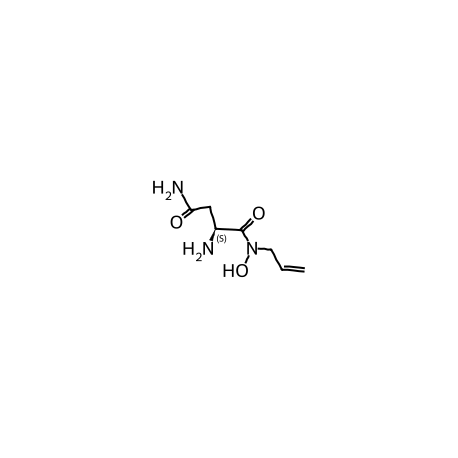 C=CCN(O)C(=O)[C@@H](N)CC(N)=O